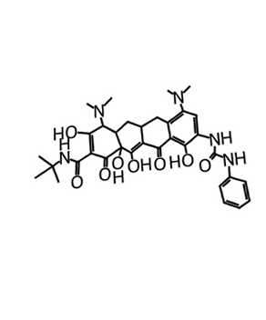 CN(C)c1cc(NC(=O)Nc2ccccc2)c(O)c2c1CC1CC3C(N(C)C)C(O)=C(C(=O)NC(C)(C)C)C(=O)C3(O)C(O)=C1C2=O